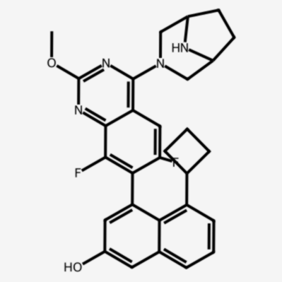 COc1nc(N2CC3CCC(C2)N3)c2cc(F)c(-c3cc(O)cc4cccc(C5CCC5)c34)c(F)c2n1